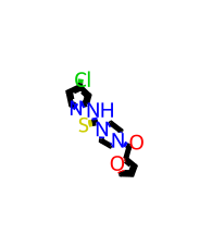 O=C(c1ccco1)N1CCN(C(=S)Nc2cc(Cl)ccn2)CC1